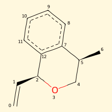 C=C[C@@H]1OC[C@H](C)c2ccccc21